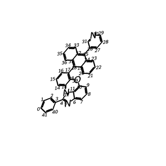 c1ccc(-c2nc3cccc4c3n2-c2cccc(-c3c5ccccc5c(-c5cccnc5)c5ccccc35)c2O4)cc1